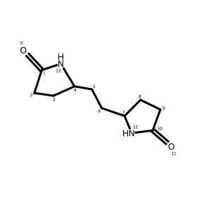 O=C1CCC(CCC2CCC(=O)N2)N1